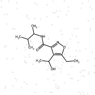 CCc1onc(C(=O)NC(C)C(C)C)c1C(C)O